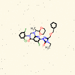 CCn1c(COCc2ccccc2)nn(-c2nc3c(cc2F)C(=O)N(c2c(F)cccc2Cl)CN3[C@@H](C)C2OCCCO2)c1=O